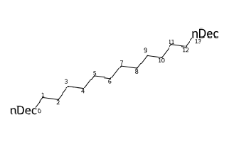 CC[CH]CCCCCCCCCCCCCCCCCCCCCCCCCCCCC